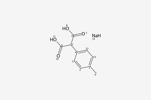 Cc1ccc(C(C(=O)O)C(=O)O)cc1.[NaH]